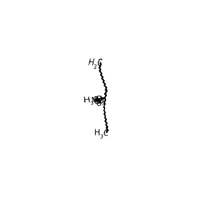 CCCCCCCCCCCCCCCCCCC(CCCCCCCCCCCCCCCCCC)COS(=O)(=O)OC.N